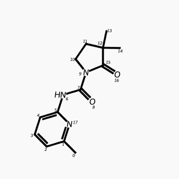 Cc1cccc(NC(=O)N2CCC(C)(C)C2=O)n1